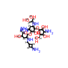 NC[C@H]1O[C@H](O[C@H]2[C@H](O)[C@@H](O[C@H]3O[C@H](CO)[C@@H](O)[C@H](N)[C@H]3O)[C@H](NC(CO)CO)C[C@@H]2N)[C@H](NCC2CC(N)C2)C[C@@H]1O